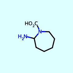 NC1CCCCCN1C(=O)O